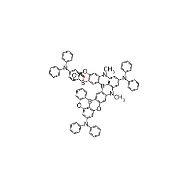 CN1c2cc3c(cc2B2c4cc5c(cc4N(C)c4cc(N(c6ccccc6)c6ccccc6)cc1c42)Oc1cc(N(c2ccccc2)c2ccccc2)cc2c1B5c1ccccc1O2)B1c2ccccc2Oc2cc(N(c4ccccc4)c4ccccc4)cc(c21)O3